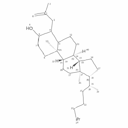 C=C(C)CC1C(O)CC[C@@]2(C)C1CC[C@H]1[C@@H]3CC[C@H]([C@H](C)CCCC(C)C)[C@@]3(C)CC[C@@H]12